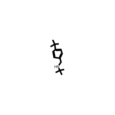 CC(C)(C)NCc1ccc(C(C)(C)C)cc1